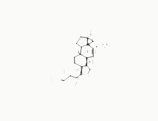 CO[C@@H]1C[C@H]2[C@@H]3CC[C@H]([C@H](C)CCC=O)[C@@]3(C)CC[C@@H]2[C@@]2(C)CC[C@H]3CC312